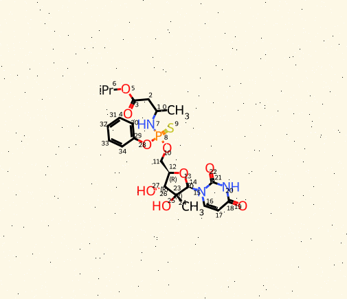 CC(CC(=O)OC(C)C)NP(=S)(OC[C@H]1O[C@@H](n2ccc(=O)[nH]c2=O)[C@](C)(O)[C@@H]1O)Oc1ccccc1